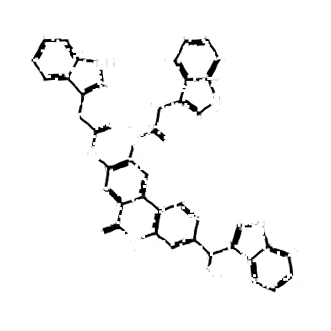 O=C(Cc1c[nH]c2ccccc12)Oc1cc2c(=O)oc3cc(C(C(=O)O)c4c[nH]c5ccccc45)ccc3c2cc1OC(=O)Cc1c[nH]c2ccccc12